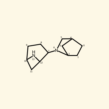 C1CC2CC1CN2C1CCC2CC1N2